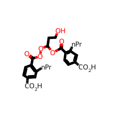 CCCc1cc(C(=O)O)ccc1C(=O)OOC(CCO)OC(=O)c1ccc(C(=O)O)cc1CCC